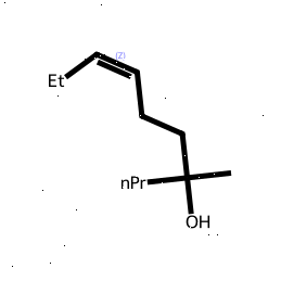 CC/C=C\CCC(C)(O)CCC